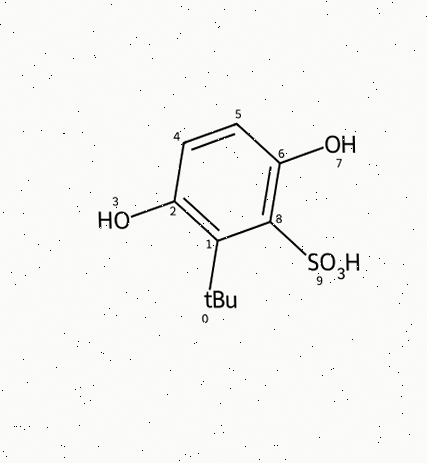 CC(C)(C)c1c(O)ccc(O)c1S(=O)(=O)O